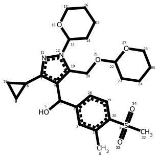 Cc1cc(C(O)c2c(C3CC3)nn(C3CCCCO3)c2COC2CCCCO2)ccc1S(C)(=O)=O